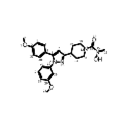 COc1ccc(-c2cc(C3CCN(C(=O)N(C)O)CC3)nn2-c2cccc(OC)c2)cc1